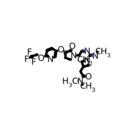 C=C(/C=N\C(=N/C)N1CC(CC(=O)N(C)C)C1)N1CC[C@@H](Oc2ccc(OCC(F)(F)F)nc2)C1=O